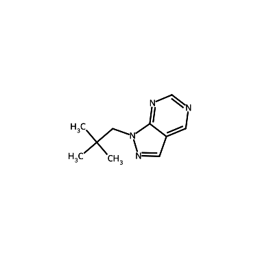 CC(C)(C)Cn1ncc2cncnc21